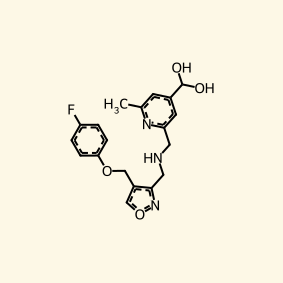 Cc1cc(C(O)O)cc(CNCc2nocc2COc2ccc(F)cc2)n1